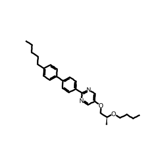 CCCCCc1ccc(-c2ccc(-c3ncc(OC[C@H](C)OCCCC)cn3)cc2)cc1